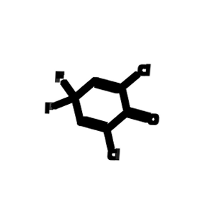 O=C1C(Cl)=CC(F)(F)C=C1Cl